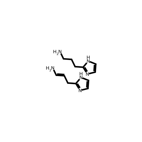 NC=CCc1ncc[nH]1.NCCCc1ncc[nH]1